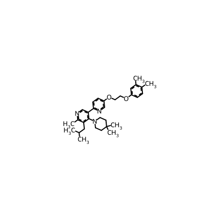 Cc1ccc(OCCOc2ccc(-c3cnc(C)c(CC(C)C)c3N3CCC(C)(C)CC3)nc2)cc1C